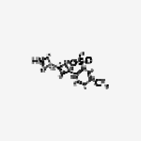 CS(=O)(=O)c1cc(C(F)(F)F)ccc1C12CC(C3CNC3)(C1)C2